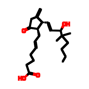 C=C1CC(=O)[C@H](CC=CCCCC(=O)O)[C@H]1C=C[C@@H](O)C(C)(C)CCCC